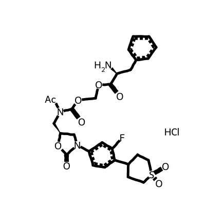 CC(=O)N(C[C@H]1CN(c2ccc(C3CCS(=O)(=O)CC3)c(F)c2)C(=O)O1)C(=O)OCOC(=O)[C@@H](N)Cc1ccccc1.Cl